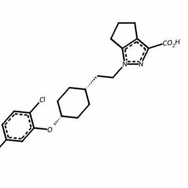 Cc1ccc(Cl)c(O[C@H]2CC[C@@H](CCn3nc(C(=O)O)c4c3CCC4)CC2)c1